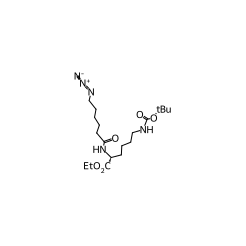 CCOC(=O)[C@H](CCCCNC(=O)OC(C)(C)C)NC(=O)CCCCCN=[N+]=[N-]